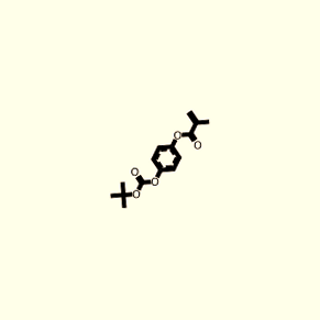 C=C(C)C(=O)Oc1ccc(OC(=O)OC(C)(C)C)cc1